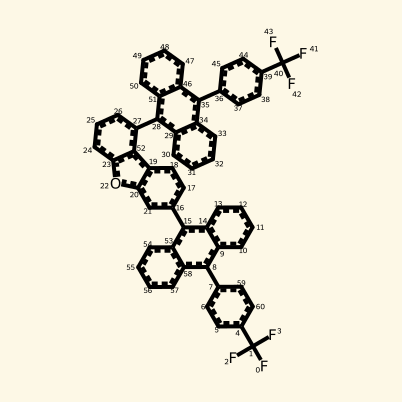 FC(F)(F)c1ccc(-c2c3ccccc3c(-c3ccc4c(c3)oc3cccc(-c5c6ccccc6c(-c6ccc(C(F)(F)F)cc6)c6ccccc56)c34)c3ccccc23)cc1